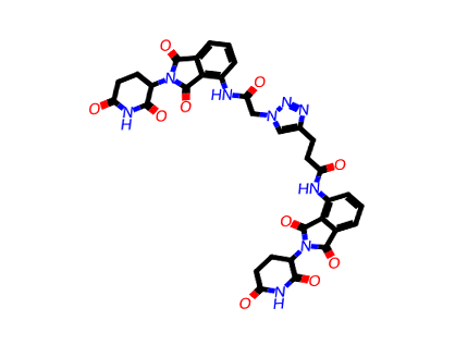 O=C1CCC(N2C(=O)c3cccc(NC(=O)CCc4cn(CC(=O)Nc5cccc6c5C(=O)N(C5CCC(=O)NC5=O)C6=O)nn4)c3C2=O)C(=O)N1